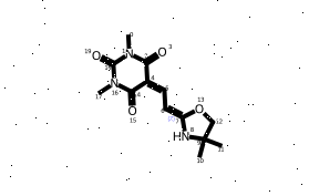 CN1C(=O)C(=C/C=C2/NC(C)(C)CO2)C(=O)N(C)C1=O